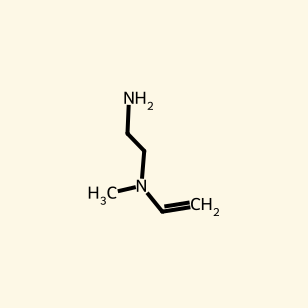 C=CN(C)CCN